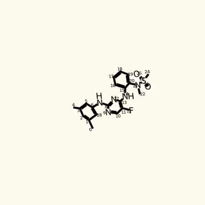 Cc1cc(C)cc(Nc2ncc(F)c(Nc3ccccc3N(C)S(C)(=O)=O)n2)c1